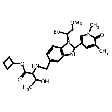 CCC(COC)N1c2ccc(CNC(C(=O)OC3CCC3)C(C)O)cc2NC1c1cc(C)c(=O)n(C)c1